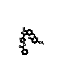 Cc1ccc(=O)n(Cc2ccc3[nH]nc(-c4cn(OC(=O)c5ccccc5)nn4)c3c2)n1